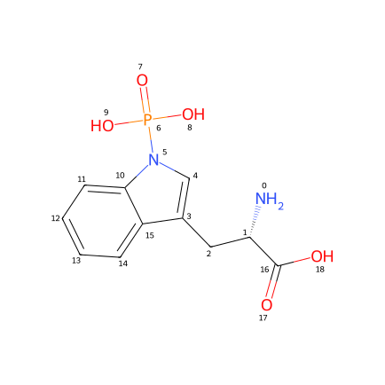 N[C@@H](Cc1cn(P(=O)(O)O)c2ccccc12)C(=O)O